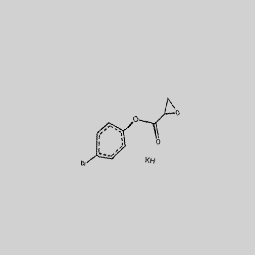 O=C(Oc1ccc(Br)cc1)C1CO1.[KH]